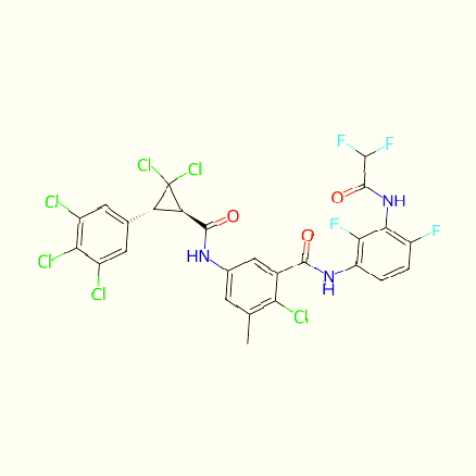 Cc1cc(NC(=O)[C@H]2[C@H](c3cc(Cl)c(Cl)c(Cl)c3)C2(Cl)Cl)cc(C(=O)Nc2ccc(F)c(NC(=O)C(F)F)c2F)c1Cl